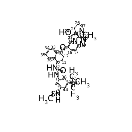 CSNc1cc(NC(=O)NC2CCC(Oc3ccc4nnc([C@]5(CO)CCCN5C)n4c3)c3ccccc32)cc(C(C)(C)C)c1